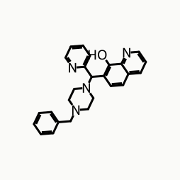 Oc1c(C(c2ccccn2)N2CCN(Cc3ccccc3)CC2)ccc2cccnc12